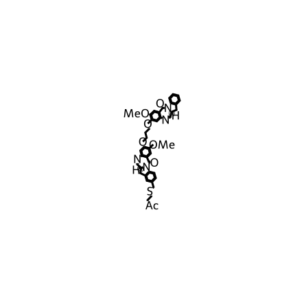 COc1cc2c(cc1OCCCOc1cc3c(cc1OC)C(=O)N1c4ccc(CSCCC(C)=O)cc4C[C@H]1C=N3)N=C[C@@H]1Cc3ccccc3N1C2=O